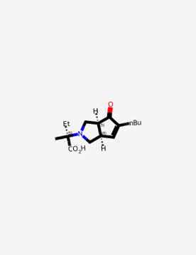 CCCCC1=C[C@H]2CN([C@@](C)(CC)C(=O)O)C[C@H]2C1=O